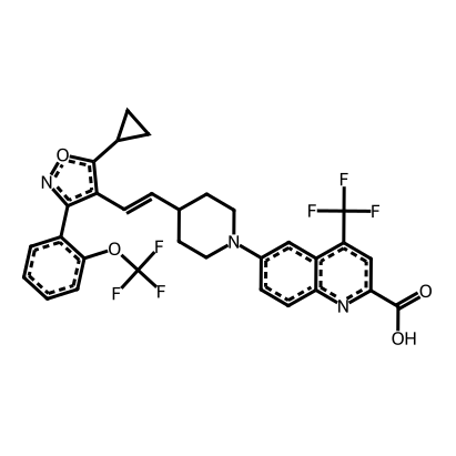 O=C(O)c1cc(C(F)(F)F)c2cc(N3CCC(/C=C/c4c(-c5ccccc5OC(F)(F)F)noc4C4CC4)CC3)ccc2n1